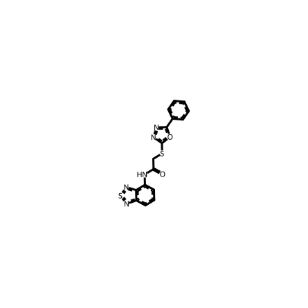 O=C(CSc1nnc(-c2ccccc2)o1)Nc1cccc2nsnc12